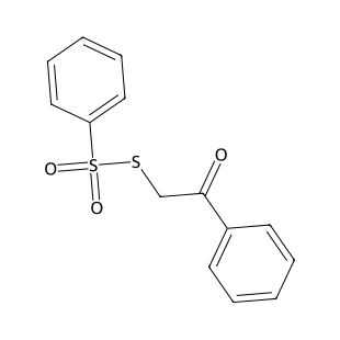 O=C(CSS(=O)(=O)c1ccccc1)c1ccccc1